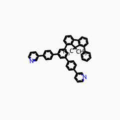 CC1(C)c2c(-c3ccccc3)cccc2-c2cccc(-c3cc(-c4ccc(-c5cccnc5)cc4)cc(-c4ccc(-c5cccnc5)cc4)c3)c21